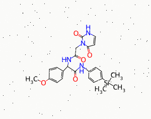 COc1ccc(C(NC(=O)Cn2c(=O)cc[nH]c2=O)C(=O)Nc2ccc([Si](C)(C)C)cc2)cc1